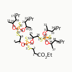 CCOC(=O)CCSP(=S)(OC(C)CSP(=S)(OC(C)CC(C)C)OC(C)CC(C)C)OC(C)CSP(=S)(OC(C)CC(C)C)OC(C)CC(C)C